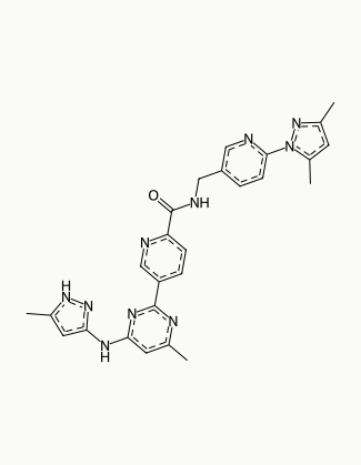 Cc1cc(Nc2cc(C)[nH]n2)nc(-c2ccc(C(=O)NCc3ccc(-n4nc(C)cc4C)nc3)nc2)n1